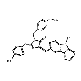 CCOc1ccc(CN2C(=O)/C(=C\c3ccc4c(c3)c3ccccc3n4CC)O/C2=N\c2ccc(C)cc2)cc1